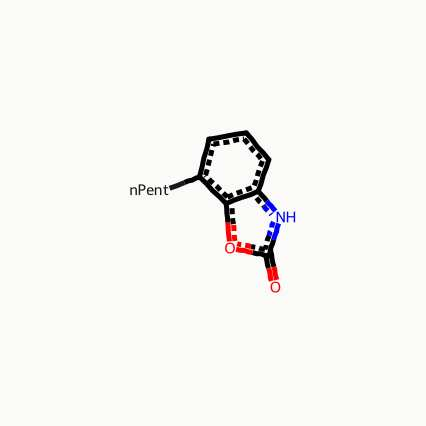 [CH2]CCCCc1cccc2[nH]c(=O)oc12